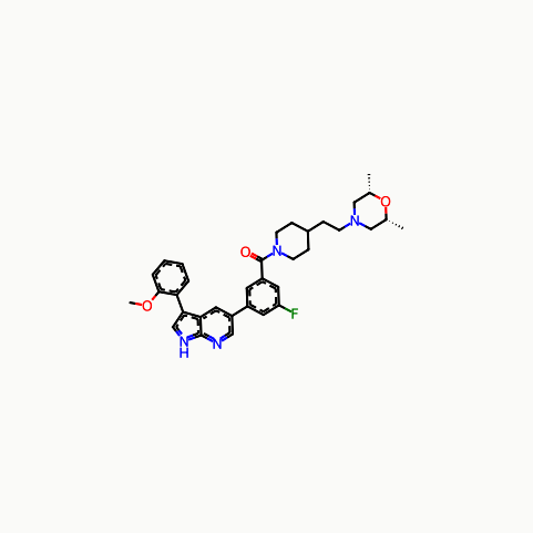 COc1ccccc1-c1c[nH]c2ncc(-c3cc(F)cc(C(=O)N4CCC(CCN5C[C@@H](C)O[C@@H](C)C5)CC4)c3)cc12